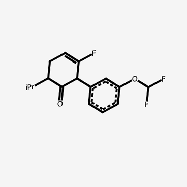 CC(C)C1CC=C(F)C(c2cccc(OC(F)F)c2)C1=O